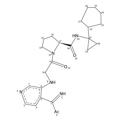 CC(=O)C(=N)c1ccncc1NCC(=O)N1CCC[C@H]1C(=O)NC1(C2CCCCC2)CC1